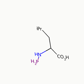 CC(C)CC(NP)C(=O)O